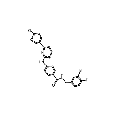 O=C(NCc1ccc(F)c(Br)c1)c1ccc(Nc2nccc(-c3ccc(Cl)cc3)n2)cc1